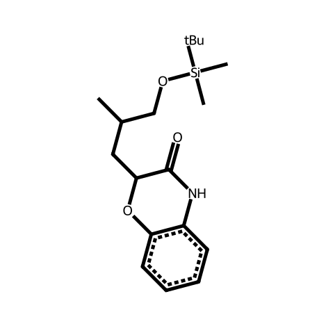 CC(CO[Si](C)(C)C(C)(C)C)CC1Oc2ccccc2NC1=O